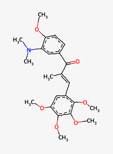 COc1ccc(C(=O)/C(C)=C/c2cc(OC)c(OC)c(OC)c2OC)cc1N(C)C